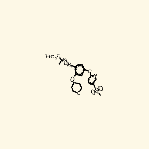 C/C(=N\Nc1ccc(Oc2ccc(S(C)(=O)=O)cn2)cc1OC1CCOCC1)C(=O)O